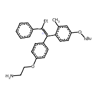 CCCCOc1ccc(/C(=C(\CC)c2ccccc2)c2ccc(OCCN)cc2)c(C)c1